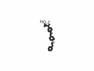 O=C(O)CC(c1ccc(OCc2ccc(OCCc3ccccc3)cc2)cc1)C1CC1